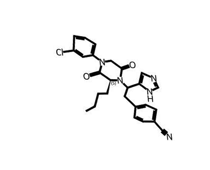 CCCC[C@H]1C(=O)N(c2cccc(Cl)c2)CC(=O)N1C(Cc1ccc(C#N)cc1)c1cnc[nH]1